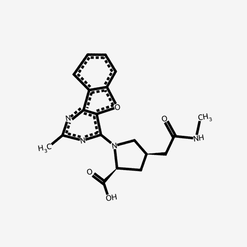 CNC(=O)C[C@H]1C[C@@H](C(=O)O)N(c2nc(C)nc3c2oc2ccccc23)C1